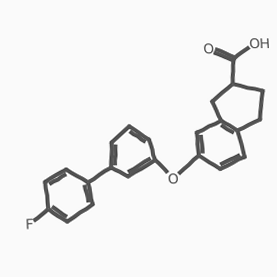 O=C(O)C1CCc2ccc(Oc3cccc(-c4ccc(F)cc4)c3)cc2C1